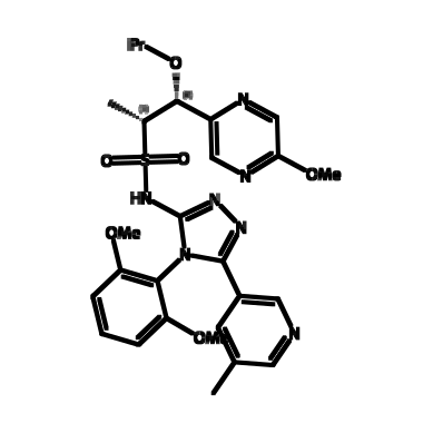 COc1cnc([C@@H](OC(C)C)[C@@H](C)S(=O)(=O)Nc2nnc(-c3cncc(C)c3)n2-c2c(OC)cccc2OC)cn1